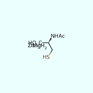 CC(=O)N[C@@H](CS)C(=O)O.[MgH2].[Zn]